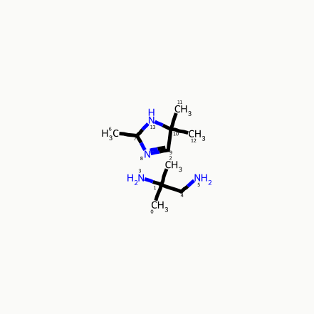 CC(C)(N)CN.CC1N=CC(C)(C)N1